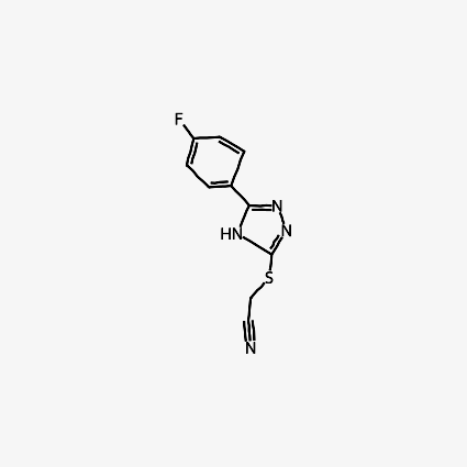 N#CCSc1nnc(-c2ccc(F)cc2)[nH]1